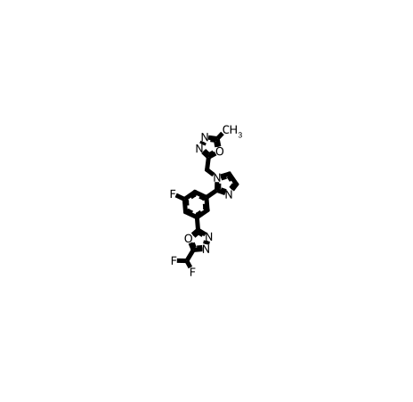 Cc1nnc(Cn2ccnc2-c2cc(F)cc(-c3nnc(C(F)F)o3)c2)o1